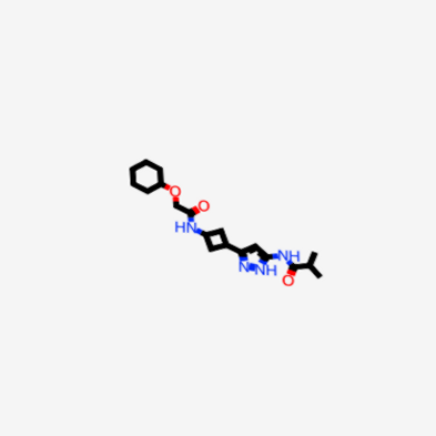 CC(C)C(=O)Nc1cc(C2CC(NC(=O)COC3CCCCC3)C2)n[nH]1